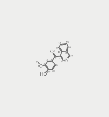 COc1cc(C(=O)c2cncc3ccccc23)ccc1O